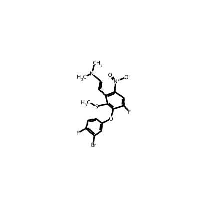 CSc1c(/C=C/N(C)C)c([N+](=O)[O-])cc(F)c1Oc1ccc(F)c(Br)c1